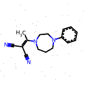 CC(=C(C#N)C#N)N1CCCN(c2ccccc2)CC1